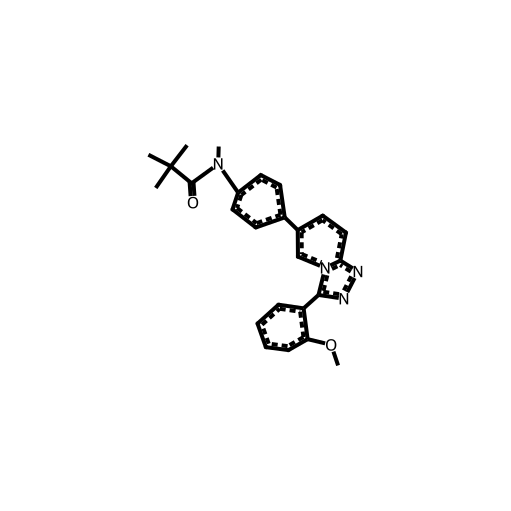 COc1ccccc1-c1nnc2ccc(-c3ccc(N(C)C(=O)C(C)(C)C)cc3)cn12